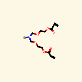 C=CC(=O)OCCOCN(CC)COCCOC(=O)C=C